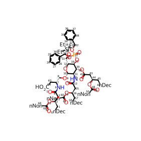 CCCCCCCCCCC[C@H](CC(=O)N[C@@H](CO[C@@H]1O[C@H](CO[Si](CC)(CC)CC)[C@@H](OP(=O)(OCc2ccccc2)OCc2ccccc2)[C@H](OC(=O)C[C@@H](CCCCCCCCCCC)OC(=O)CCCCCCCCC)[C@H]1NC(=O)C[C@@H](CCCCCCCCCCC)OC(=O)CCCCCCCCC)CC(=O)O)OC(=O)CCCCCCCCC